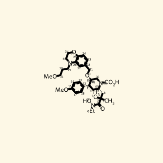 CCN(O)C(=O)C(C)(C)C[C@@H]1C[C@H](c2ccc(OC)cc2)[C@@H](OCc2ccc3c(c2)N(CCCOC)CCO3)CN1C(=O)O